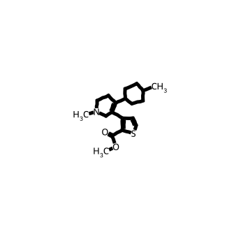 COC(=O)c1sccc1C1=C(C2CCC(C)CC2)CCN(C)C1